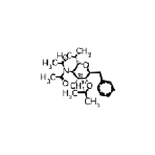 CC(=O)N(C(C)=O)C1[C@H](C(C)C)OC(Cc2ccccc2)[C@H](OC(C)C)[C@@H]1C